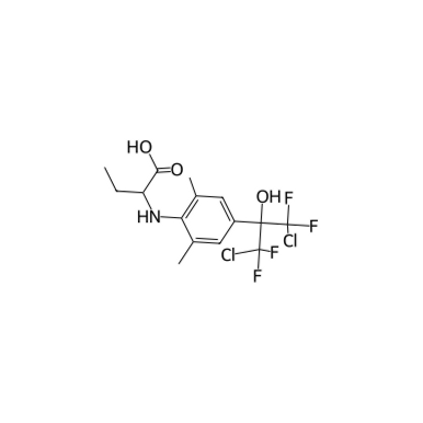 CCC(Nc1c(C)cc(C(O)(C(F)(F)Cl)C(F)(F)Cl)cc1C)C(=O)O